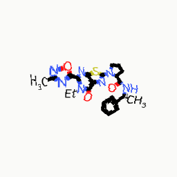 CCn1c(-c2nc(C)no2)nc2sc(N3CCCC3C(=O)N[C@H](C)c3ccccc3)nc2c1=O